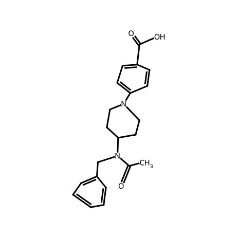 CC(=O)N(Cc1ccccc1)C1CCN(c2ccc(C(=O)O)cc2)CC1